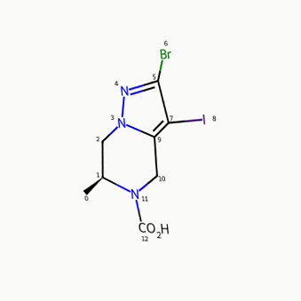 C[C@H]1Cn2nc(Br)c(I)c2CN1C(=O)O